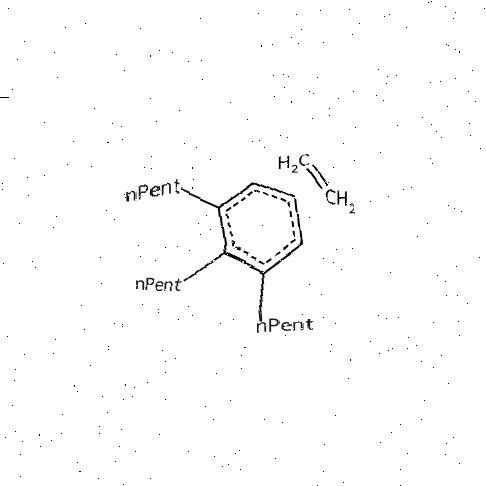 C=C.CCCCCc1cccc(CCCCC)c1CCCCC